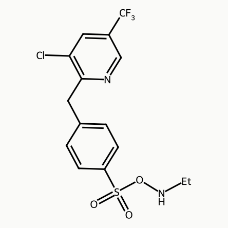 CCNOS(=O)(=O)c1ccc(Cc2ncc(C(F)(F)F)cc2Cl)cc1